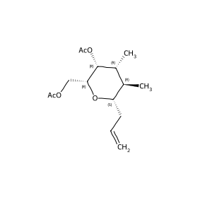 C=CC[C@@H]1O[C@H](COC(C)=O)[C@H](OC(C)=O)[C@H](C)[C@H]1C